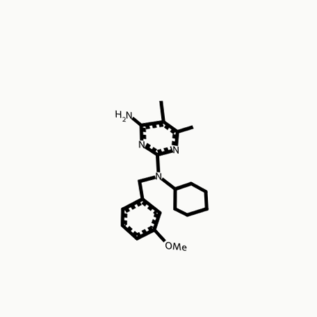 COc1cccc(CN(c2nc(C)c(C)c(N)n2)C2CCCCC2)c1